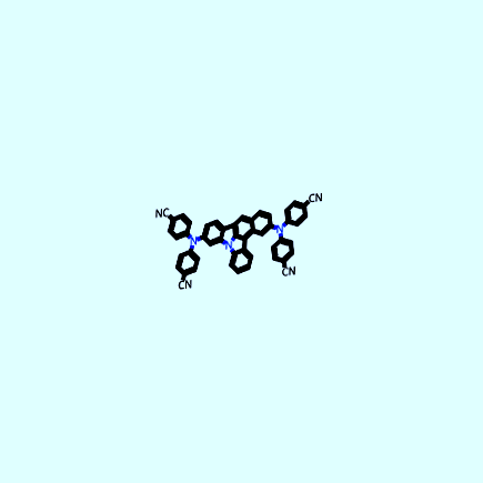 N#Cc1ccc(N(c2ccc(C#N)cc2)c2ccc3cc4c5ccc(N(c6ccc(C#N)cc6)c6ccc(C#N)cc6)cc5n5c6ccccc6c(c3c2)c45)cc1